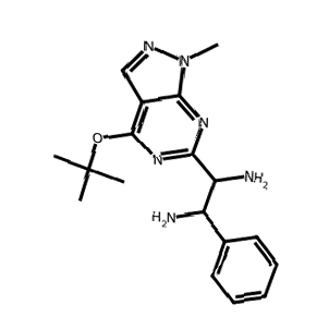 Cn1ncc2c(OC(C)(C)C)nc(C(N)C(N)c3ccccc3)nc21